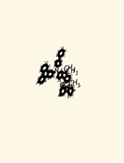 CC1(C)c2cc(N(c3ccc(-c4ccccc4)cc3)c3ccc4c5ccccc5c5ccccc5c4c3)ccc2-c2c1ccc1c2Oc2ccccc2[Si]1(C)c1ccccc1